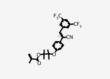 C=C(C)C(=O)OC(C)(C)C(C)(C)Oc1ccc(/C(C#N)=C/c2cc(C(F)(F)F)cc(C(F)(F)F)c2)cc1